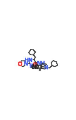 CCOC(=O)/N=C(\NC(CC1CCCCC1)C(=O)NC1(C#N)CCN(CC2CCCCC2)CC1)N1CCOCC1